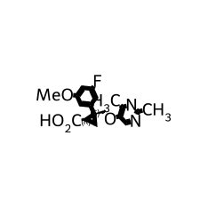 COc1cc(F)cc([C@]2(COc3cnc(C)nc3C)C[C@H]2C(=O)O)c1